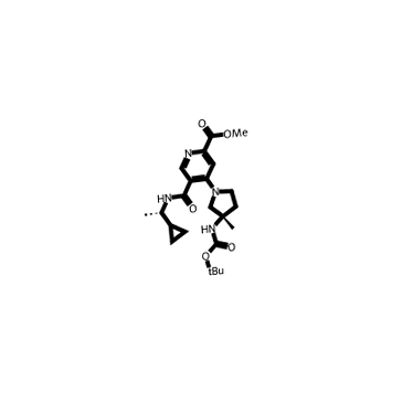 COC(=O)c1cc(N2CC[C@](C)(NC(=O)OC(C)(C)C)C2)c(C(=O)N[C@@H](C)C2CC2)cn1